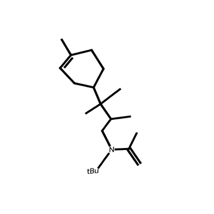 C=C(C)N(CC(C)C(C)(C)C1CC=C(C)CC1)C(C)(C)C